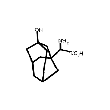 NC(C(=O)O)C12CC3CC(CC(O)(C3)C1)C2